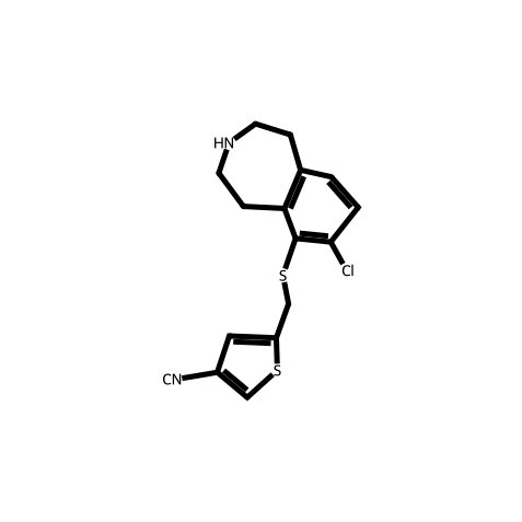 [C-]#[N+]c1csc(CSc2c(Cl)ccc3c2CCNCC3)c1